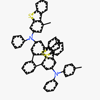 Cc1ccc(N(c2ccccc2)c2cc(-c3ccccc3-c3cc(N(c4ccccc4)c4cc(C)c5c(c4)sc4ccccc45)cc4c3sc3cccc(C)c34)c3sc4ccccc4c3c2)cc1